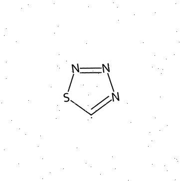 [c]1nnns1